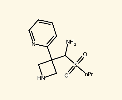 CCCS(=O)(=O)C(N)C1(c2ccccn2)CNC1